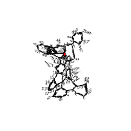 C1=CC2c3ccccc3C3(c4ccccc4-c4cc5c6c(oc5cc43)CCC=C6)c3cc(-c4cc(-c5ccccc5)nc(-c5ccccc5)n4)ccc3C2C=C1